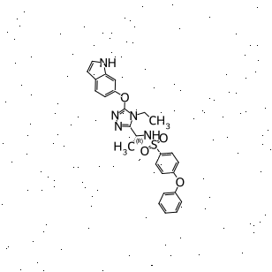 CCn1c(Oc2ccc3cc[nH]c3c2)nnc1[C@@H](C)NS(=O)(=O)c1ccc(Oc2ccccc2)cc1